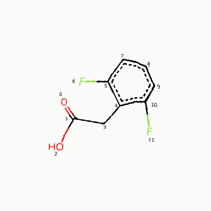 O=C(O)Cc1c(F)c[c]cc1F